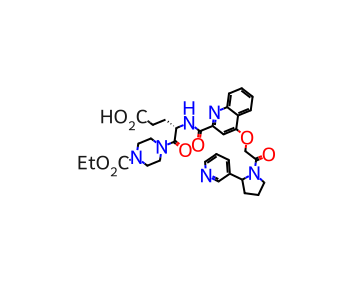 CCOC(=O)N1CCN(C(=O)[C@H](CCC(=O)O)NC(=O)c2cc(OCC(=O)N3CCCC3c3cccnc3)c3ccccc3n2)CC1